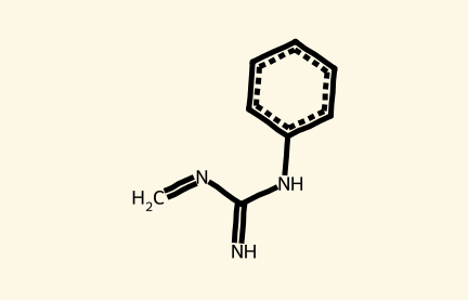 C=NC(=N)Nc1ccccc1